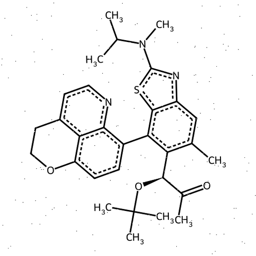 CC(=O)[C@@H](OC(C)(C)C)c1c(C)cc2nc(N(C)C(C)C)sc2c1-c1ccc2c3c(ccnc13)CCO2